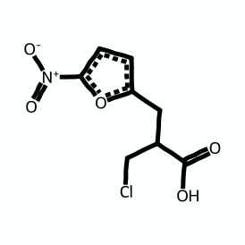 O=C(O)C(CCl)Cc1ccc([N+](=O)[O-])o1